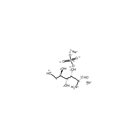 N[C@@H](C=O)[C@@H](O)[C@H](O)[C@H](O)CO.O=S(=O)([O-])[O-].[Na+].[Na+]